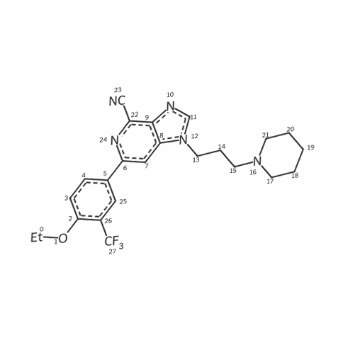 CCOc1ccc(-c2cc3c(ncn3CCCN3CCCCC3)c(C#N)n2)cc1C(F)(F)F